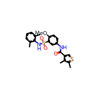 COc1ccc(NC(=O)c2csc(C)c2C)cc1S(=O)(=O)Nc1c(C)cccc1C